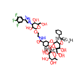 CC(=O)NC1CC(C(=O)NCCO[C@H]2OC(CO)[C@@H](O)C(n3cc(-c4cc(F)c(F)c(F)c4)nn3)C2O)C[C@@H](O[C@@H]2OC(CO)[C@H](O)C(O[C@@H](CC3CCCCC3)C(=O)O)C2NC(C)=O)C1O[C@@H]1OC(C)[C@@H](O)C(O)C1O